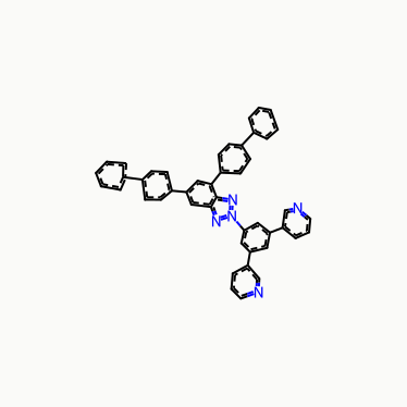 c1ccc(-c2ccc(-c3cc(-c4ccc(-c5ccccc5)cc4)c4nn(-c5cc(-c6cccnc6)cc(-c6cccnc6)c5)nc4c3)cc2)cc1